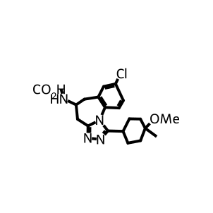 COC1(C)CCC(c2nnc3n2-c2ccc(Cl)cc2CC(NC(=O)O)C3)CC1